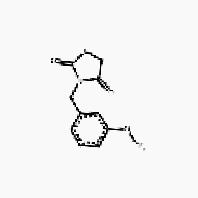 O=C1CSC(=O)N1Cc1cccc(OC(F)(F)F)c1